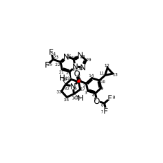 O=C(c1cc(OC(F)F)cc(C2CC2)c1)N1[C@H]2CC[C@H](c3cc(C(F)F)nc4ncnn34)[C@@H]1CC2